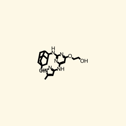 Cc1cc(Nc2cc(OCCO)nc(NC3C4CC5CC3CC(O)(C5)C4)n2)n[nH]1